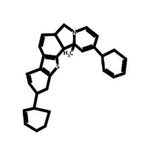 CC12C=C(C3C=CC=CC3)C=CN1CC1C=Cc3c(sc4c3C=CC(C3C=CCCC3)C4)C12